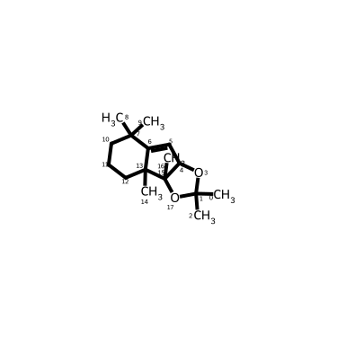 CC1(C)OC2C=C3C(C)(C)CCCC3(C)C2(C)O1